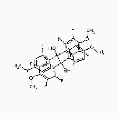 COc1ccc(C(O)(c2c(F)c(F)c(OC)c(F)c2F)C(O)(c2ccc(OC)cc2F)c2c(F)c(F)c(OC)c(F)c2F)c(F)c1